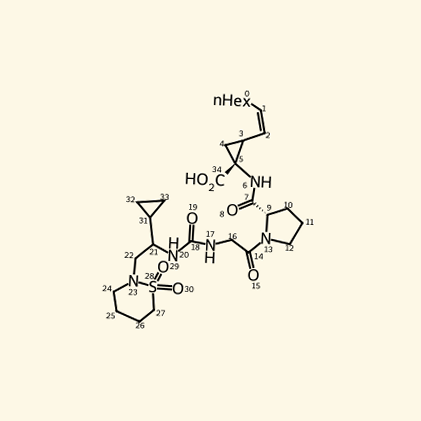 CCCCCC/C=C\C1C[C@]1(NC(=O)[C@@H]1CCCN1C(=O)CNC(=O)NC(CN1CCCCS1(=O)=O)C1CC1)C(=O)O